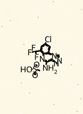 CS(=O)(=O)O.Nc1nc2c(C(F)(F)F)cc(Cl)cc2n2cnnc12